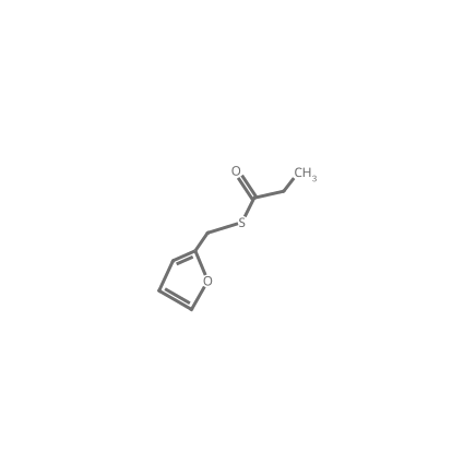 CCC(=O)SCc1ccco1